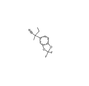 CCC(C)(C#N)c1ccc2c(c1)OC(F)(F)O2